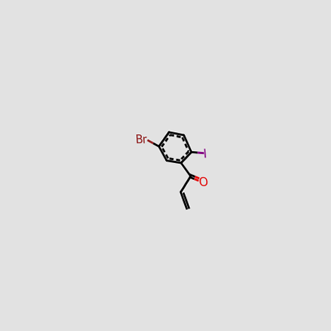 C=CC(=O)c1cc(Br)ccc1I